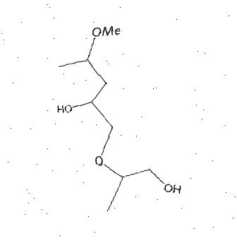 COC(C)CC(O)COC(C)CO